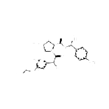 CCCC(C(=O)N1C[C@H](O)C[C@H]1C(=O)N[C@@H](C)c1ccc(C#N)cc1)c1cc(OCC=O)no1